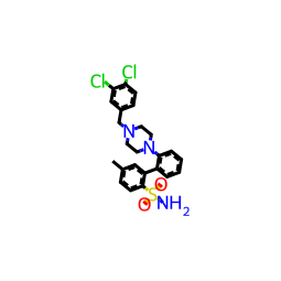 Cc1ccc(S(N)(=O)=O)c(-c2ccccc2N2CCN(Cc3ccc(Cl)c(Cl)c3)CC2)c1